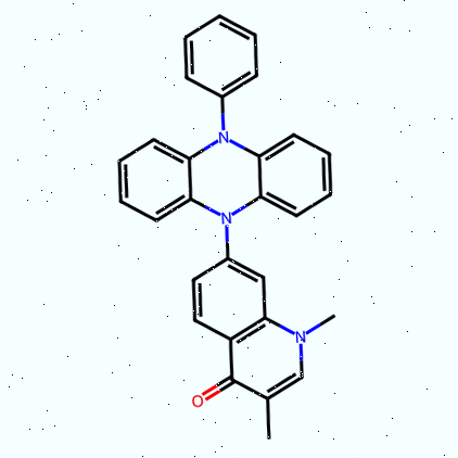 Cc1cn(C)c2cc(N3c4ccccc4N(c4ccccc4)c4ccccc43)ccc2c1=O